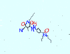 CCCCCCn1c(O)c(/N=N/c2ccc(C(=O)N(CCCC)CCCC)cc2)c(C)c(C#N)c1=O